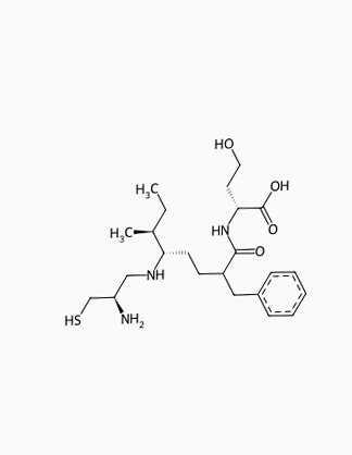 CC[C@H](C)[C@H](CCC(Cc1ccccc1)C(=O)N[C@H](CCO)C(=O)O)NC[C@@H](N)CS